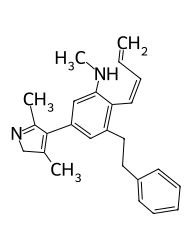 C=C/C=C\c1c(CCc2ccccc2)cc(C2=C(C)CN=C2C)cc1NC